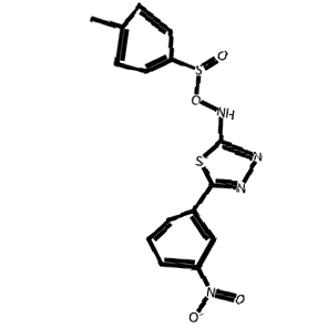 Cc1ccc(S(=O)ONc2nnc(-c3cccc([N+](=O)[O-])c3)s2)cc1